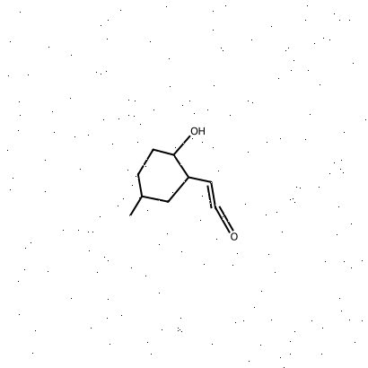 CC1CCC(O)C(C=C=O)C1